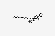 CCCCCCCCCCCCCCC(C(=O)O)c1ccc(-c2ccccc2)c(F)c1